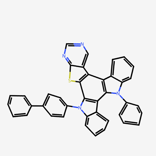 c1ccc(-c2ccc(-n3c4ccccc4c4c3c3sc5ncncc5c3c3c5ccccc5n(-c5ccccc5)c34)cc2)cc1